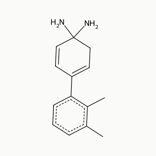 Cc1cccc(C2=CCC(N)(N)C=C2)c1C